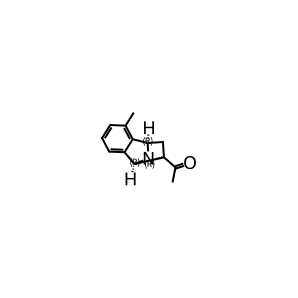 CC(=O)C12C[C@@H]3c4c(C)cccc4[C@H]1[N@]32